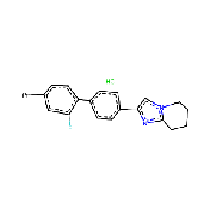 CC(C)c1ccc(-c2ccc(-c3cn4c(n3)CCCC4)cc2)c(F)c1.Cl